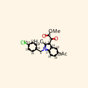 COC(=O)C(=O)c1c(C)n(Cc2ccc(Cl)cc2)c2ccc(C(C)=O)cc12